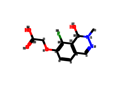 CN1N=Cc2ccc(OCC(=O)O)c(F)c2B1O